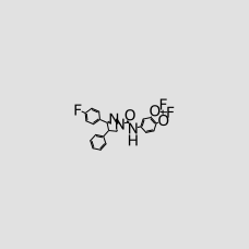 O=C(Nc1ccc2c(c1)OC(F)(F)O2)N1CC(c2ccccc2)C(c2ccc(F)cc2)=N1